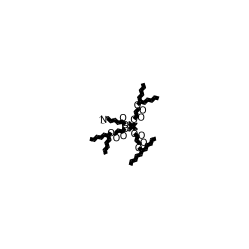 CCCCCC(CCCCC)OC(=O)CC(=O)OCC(COC(=O)CCCCN(C)C)(COC(=O)CC(=O)OC(CCCCC)CCCCC)COC(=O)CC(=O)OC(CCCCC)CCCCC